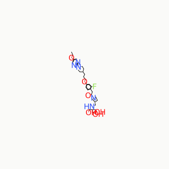 CCOc1cnc(N2CCC(CCCOc3ccc(CC(=O)N4CC[C@@H](CNC(CO)(CO)CO)C4)c(F)c3)CC2)nc1